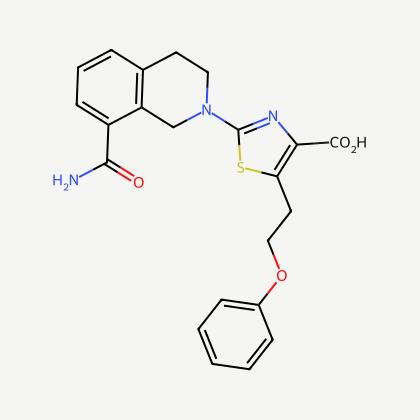 NC(=O)c1cccc2c1CN(c1nc(C(=O)O)c(CCOc3ccccc3)s1)CC2